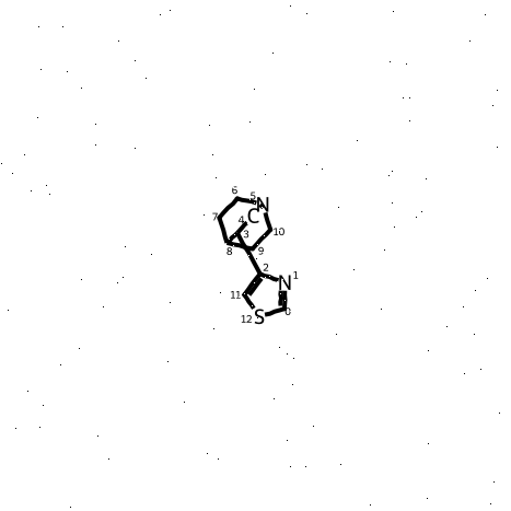 c1nc(C2CN3CCC2CC3)cs1